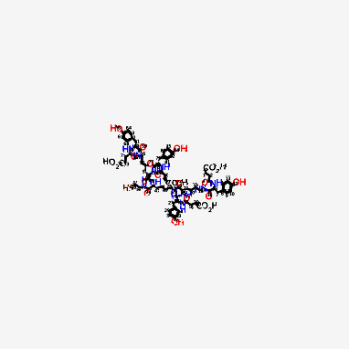 O=C(O)CCC(=O)N[C@@H](Cc1ccc(O)cc1)C(=O)NCCCC[C@H](NC(=O)[C@H](Cc1ccc(O)cc1)NC(=O)CCC(=O)O)C(=O)NCCCC[C@H](NC(=O)[C@H](CCCCNC(=O)[C@H](Cc1ccc(O)cc1)NC(=O)CCC(=O)O)NC(=O)[C@H](Cc1ccc(O)cc1)NC(=O)CCC(=O)O)C(=O)NCCS